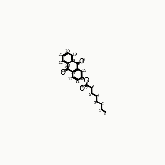 CCCCCCCC(=O)Oc1ccc2c(c1)C(=O)c1ccccc1C2=O